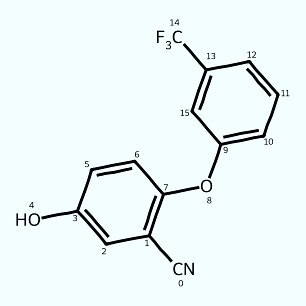 N#Cc1cc(O)ccc1Oc1cccc(C(F)(F)F)c1